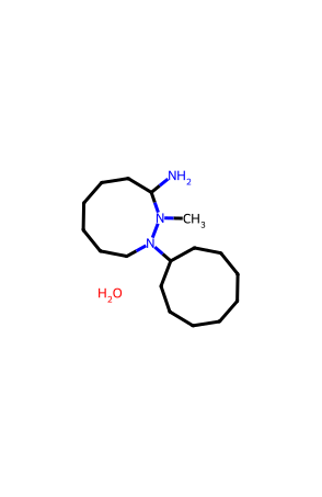 CN1C(N)CCCCCCN1C1CCCCCCCC1.O